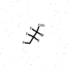 CC(=O)OC(F)(Br)C(F)(F)CF